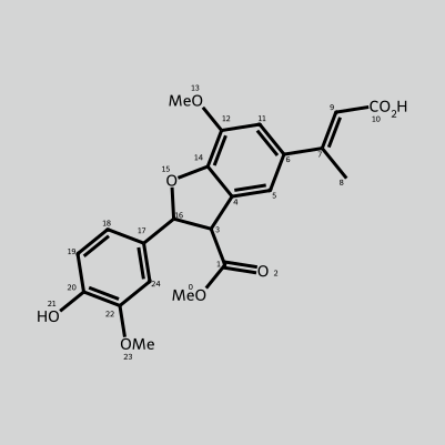 COC(=O)C1c2cc(/C(C)=C/C(=O)O)cc(OC)c2OC1c1ccc(O)c(OC)c1